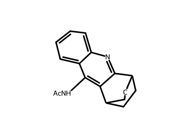 CC(=O)Nc1c2c(nc3ccccc13)C1CCC2CC1